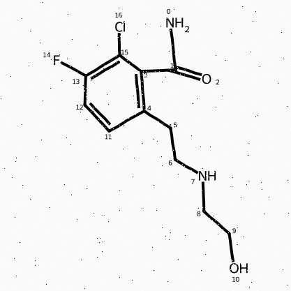 NC(=O)c1c([CH]CNCCO)ccc(F)c1Cl